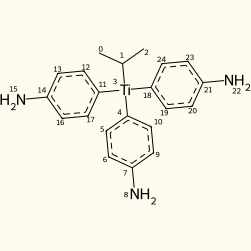 C[CH](C)[Ti]([c]1ccc(N)cc1)([c]1ccc(N)cc1)[c]1ccc(N)cc1